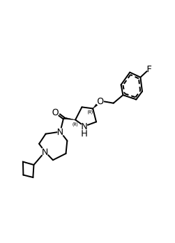 O=C([C@H]1C[C@@H](OCc2ccc(F)cc2)CN1)N1CCCN(C2CCC2)CC1